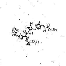 Cc1nn(C[C@H]2NC(=O)[C@H]2NC(=O)C(=NOC2(C(=O)O)CC2)c2csc(NC(=O)OC(C)(C)C)n2)nc1CNC(=O)OC(C)(C)C